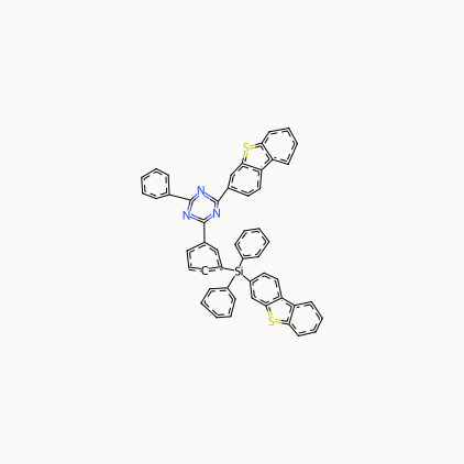 c1ccc(-c2nc(-c3cccc([Si](c4ccccc4)(c4ccccc4)c4ccc5c(c4)sc4ccccc45)c3)nc(-c3ccc4c(c3)sc3ccccc34)n2)cc1